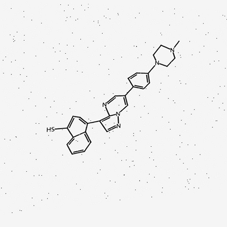 CN1CCN(c2ccc(-c3cnc4c(-c5ccc(S)c6ccccc56)cnn4c3)cc2)CC1